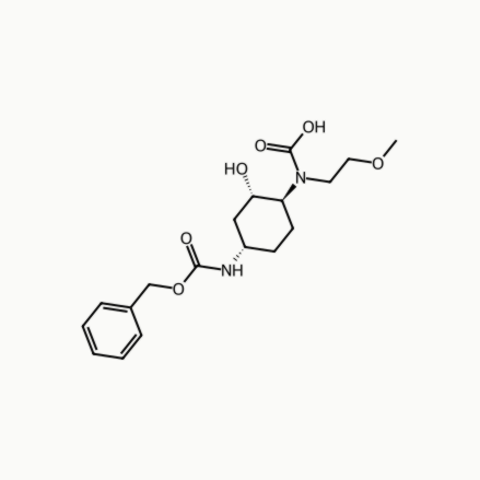 COCCN(C(=O)O)[C@H]1CC[C@H](NC(=O)OCc2ccccc2)C[C@@H]1O